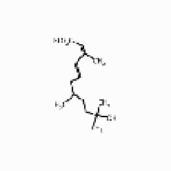 CCOC(=O)C=C(C)C=CCC(C)CCC(C)(C)O